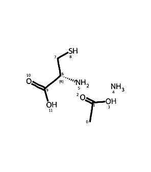 CC(=O)O.N.N[C@@H](CS)C(=O)O